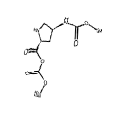 CC(C)(C)OC(=O)N[C@@H]1CN[C@H](C(=O)OC(=O)OC(C)(C)C)C1